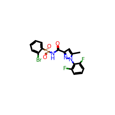 Cc1cc(C(=O)NS(=O)(=O)c2ccccc2Br)nn1-c1c(F)cccc1F